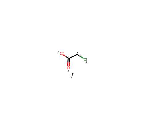 O=C([O-])CCl.[Tl+]